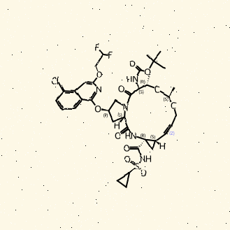 C[C@H]1CC/C=C\[C@@H]2C[C@@]2(C(=O)NS(=O)(=O)C2CC2)NC(=O)[C@@H]2C[C@@H](Oc3nc(OCC(F)F)cc4c(Cl)cccc34)CN2C(=O)[C@@H](NC(=O)OC(C)(C)C)[C@H](C)C1